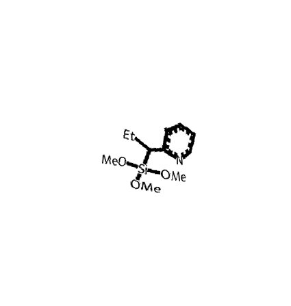 CCC(c1ccccn1)[Si](OC)(OC)OC